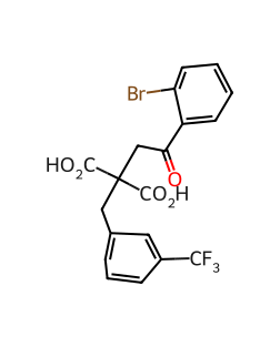 O=C(CC(Cc1cccc(C(F)(F)F)c1)(C(=O)O)C(=O)O)c1ccccc1Br